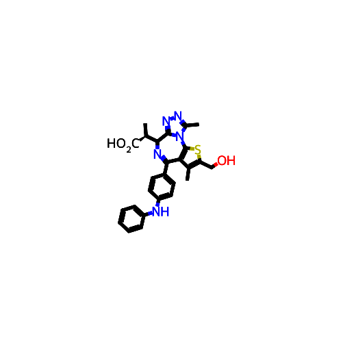 Cc1c(CO)sc2c1C(c1ccc(Nc3ccccc3)cc1)=NC([C@H](C)C(=O)O)c1nnc(C)n1-2